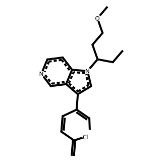 C=C(Cl)/C=C\C(=C/C)c1cn(C(CC)CCOC)c2ccncc12